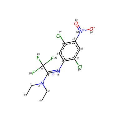 CCN(CC)/C(=N/c1cc(Cl)c([N+](=O)[O-])cc1Cl)C(F)(F)F